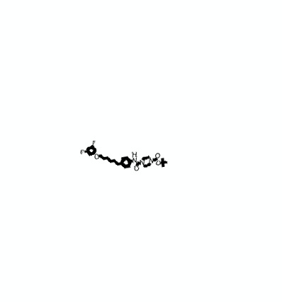 CC(C)(C)OC(=O)N1CCN(C(=O)Nc2ccc(CCCCCCOc3cc(F)cc(F)c3)cc2)CC1